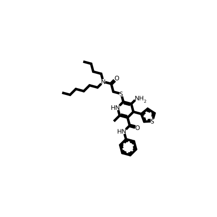 CCCCCCN(CCCC)C(=O)CSC1=C(N)C(c2ccsc2)C(C(=O)Nc2ccccc2)=C(C)N1